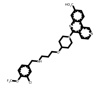 O=C(O)c1ccc2c(c1)nc(N1CCC(OCCCNCc3ccc(OC(F)(F)F)c(Cl)c3)CC1)c1ccncc12